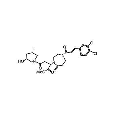 COC(=O)C(CC(=O)N1C[C@@H](C)C[C@H](O)C1)N1CCN(C(=O)C=Cc2ccc(Cl)c(Cl)c2)CCC1=O